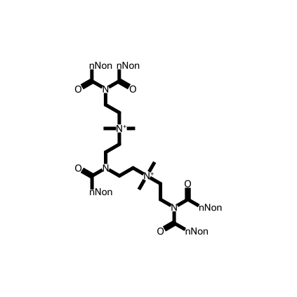 CCCCCCCCCC(=O)N(CC[N+](C)(C)CCN(C(=O)CCCCCCCCC)C(=O)CCCCCCCCC)CC[N+](C)(C)CCN(C(=O)CCCCCCCCC)C(=O)CCCCCCCCC